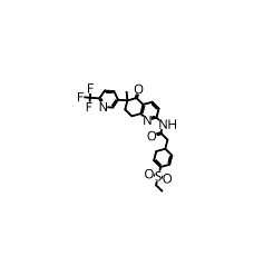 CCS(=O)(=O)C1=CCC(CC(=O)Nc2ccc3c(n2)CCC(C)(c2ccc(C(F)(F)F)nc2)C3=O)C=C1